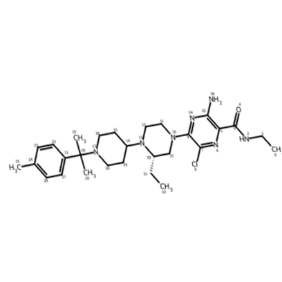 CCNC(=O)c1nc(Cl)c(N2CCN(C3CCN(C(C)(C)c4ccc(C)cc4)CC3)[C@@H](CC)C2)nc1N